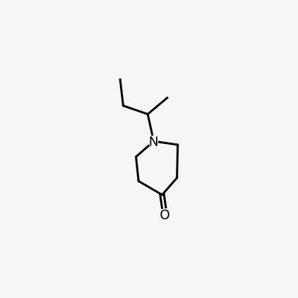 CCC(C)N1CCC(=O)CC1